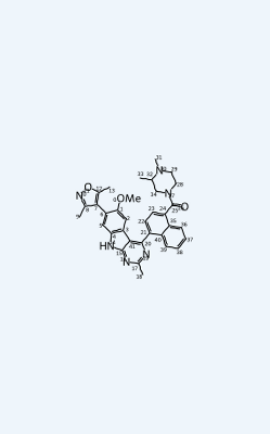 COc1cc2c(cc1-c1c(C)noc1C)[nH]c1nc(C)nc(-c3ccc(C(=O)N4CCN(C)C(C)C4)c4ccccc34)c12